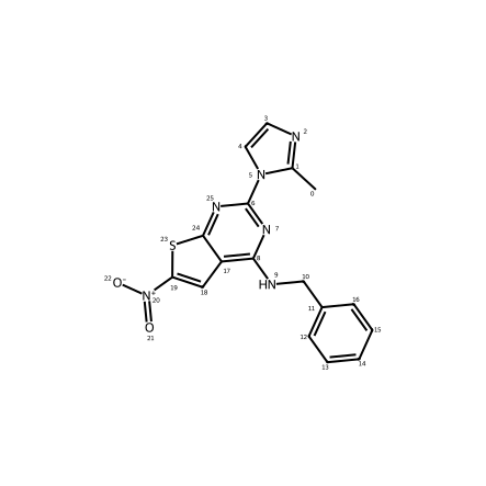 Cc1nccn1-c1nc(NCc2ccccc2)c2cc([N+](=O)[O-])sc2n1